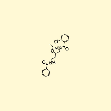 CCOC(CCNC(=O)c1ccccc1)CNC(=O)c1ccccc1Cl